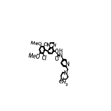 COc1cc(OC)c(Cl)c(-c2ccc(OC(=O)Nc3ccc(CN4CCN(C)CC4)nc3)c3nccnc23)c1Cl